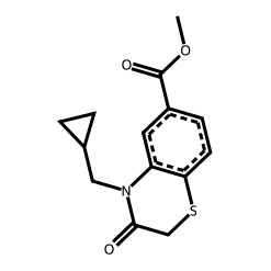 COC(=O)c1ccc2c(c1)N(CC1CC1)C(=O)CS2